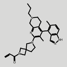 C=CC(=O)N1CC2(CCN(c3nc4c(c(-c5c(C)ccc6[nH]ncc56)c3C)CCN(CCC)C4)C2)C1